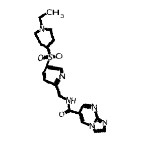 CCN1CCC(S(=O)(=O)c2ccc(CNC(=O)c3cnc4nccn4c3)nc2)CC1